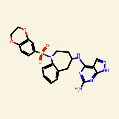 Nc1nc(NC2CCN(S(=O)(=O)c3ccc4c(c3)OCCO4)c3ccccc3C2)c2cn[nH]c2n1